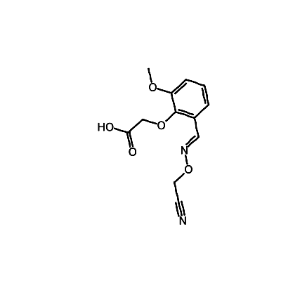 COc1cccc(C=NOCC#N)c1OCC(=O)O